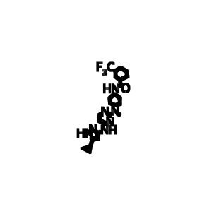 CN(c1nccc(Nc2cc(C3CC3)[nH]n2)n1)C1CCC(NC(=O)C2CCCC(C(F)(F)F)C2)CC1